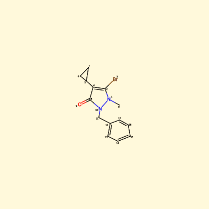 Cn1c(Br)c(C2CC2)c(=O)n1Cc1ccccc1